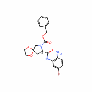 Nc1ccc(Br)cc1NC(=O)[C@@H]1CC2(CN1C(=O)OCc1ccccc1)OCCO2